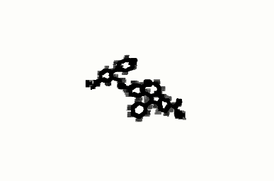 Nc1ccc(N2CCOCC2)c(COc2ccc3c(c2)OCCn2c-3c(C3CCCCC3)c3ccc(C(=O)O)cc32)c1